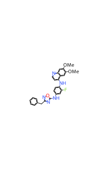 COc1cc2nccc(Nc3ccc(Nc4nc(Cc5ccccc5)no4)cc3F)c2cc1OC